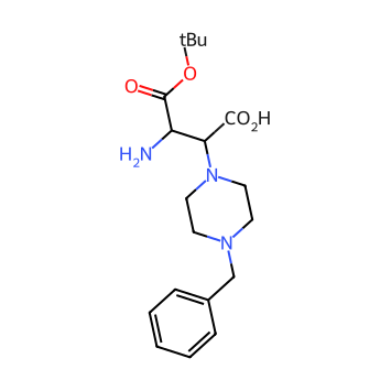 CC(C)(C)OC(=O)C(N)C(C(=O)O)N1CCN(Cc2ccccc2)CC1